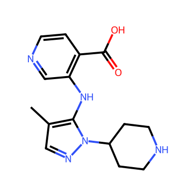 Cc1cnn(C2CCNCC2)c1Nc1cnccc1C(=O)O